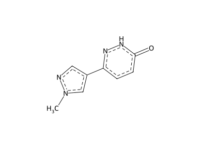 Cn1cc(-c2ccc(=O)[nH]n2)cn1